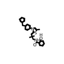 CC1=CN(c2ccc(Cc3ccccc3)cc2)C(=CC(C)(C)CNC(=O)c2ccccc2O)S1